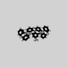 CC(C)c1cc(C(C)C)c(B2c3cc(N4c5ccccc5Oc5ccccc54)ccc3Sc3ccc(N4c5ccccc5Oc5ccccc54)cc32)c(C(C)C)c1